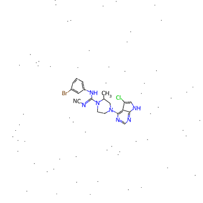 CC1CN(c2ncnc3[nH]cc(Cl)c23)CCN1C(=NC#N)Nc1cccc(Br)c1